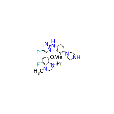 COc1cc(Nc2ncc(F)c(-c3cc(F)c4c(c3)N(C(C)C)CCN4C)n2)ccc1N1CCNCC1